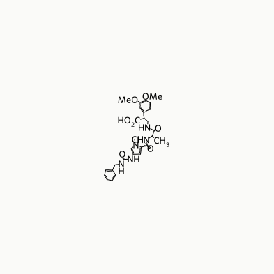 COc1ccc(C(CNC(=O)[C@@H](C)NC(=O)c2cc(NC(=O)NCc3ccccc3)cn2C)C(=O)O)cc1OC